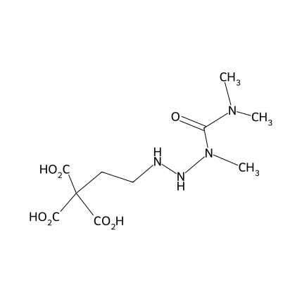 CN(C)C(=O)N(C)NNCCC(C(=O)O)(C(=O)O)C(=O)O